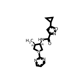 C[C@@H]1CN(c2ncccn2)C[C@@H]1NC(=O)c1cc(C2CC2)on1